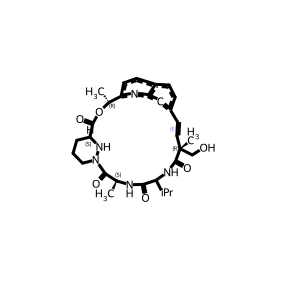 CC(C)C1NC(=O)[C@@](C)(CO)/C=C/c2ccc3ccc(nc3c2)[C@@H](C)OC(=O)[C@@H]2CCCN(N2)C(=O)[C@H](C)NC1=O